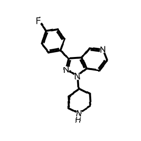 Fc1ccc(-c2nn(C3CCNCC3)c3ccncc23)cc1